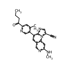 CCCC(=O)c1cc(C)c(-c2cc3cnc(NC)cc3n3c(C#N)cnc23)cn1